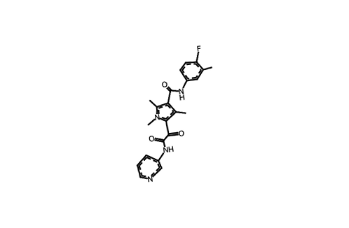 Cc1cc(NC(=O)c2c(C)c(C(=O)C(=O)Nc3cccnc3)n(C)c2C)ccc1F